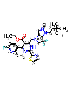 CCOC(=O)C1=C(CN2CC(F)(F)C3C2CN(C)N3CCC(C)(C)C)NC(c2nccs2)=NC1c1ccc(F)nc1C